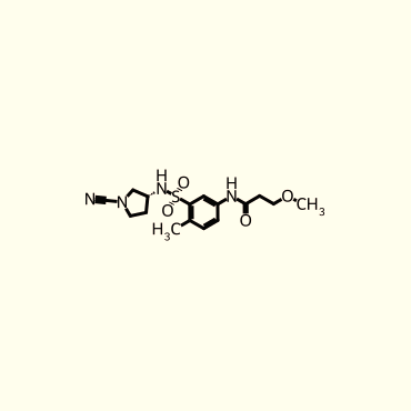 COCCC(=O)Nc1ccc(C)c(S(=O)(=O)N[C@@H]2CCN(C#N)C2)c1